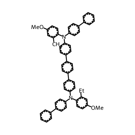 CCc1cc(OC)ccc1N(c1ccc(-c2ccccc2)cc1)c1ccc(-c2ccc(-c3ccc(N(c4ccc(-c5ccccc5)cc4)c4ccc(OC)cc4C)cc3)cc2)cc1